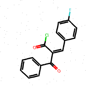 O=C(Cl)C(=Cc1ccc(F)cc1)C(=O)c1ccccc1